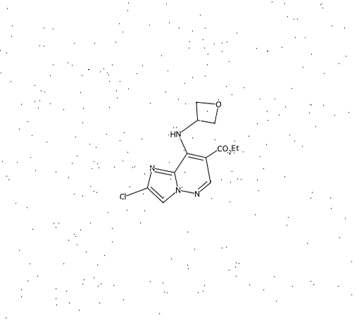 CCOC(=O)c1cnn2cc(Cl)nc2c1NC1COC1